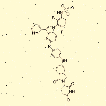 CCCS(=O)(=O)Nc1ccc(F)c(-n2cc(-c3cncnc3)c3nc(N(C)c4ccc(Bc5ccc6c(c5)CN(C5CCC(=O)NC5=O)C6=O)cc4)ccc32)c1F